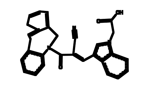 N#CC(=Cc1cn(CC(=O)O)c2ccccc12)C(=O)N1CC2=CC=CC/C2=C\Cc2ccccc21